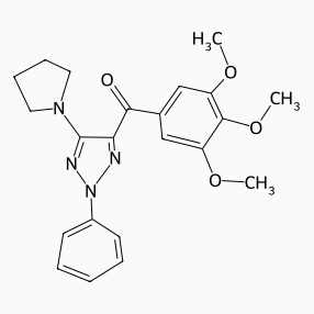 COc1cc(C(=O)c2nn(-c3ccccc3)nc2N2CCCC2)cc(OC)c1OC